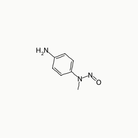 CN(N=O)c1ccc(N)cc1